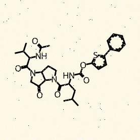 CC(=O)NC(C(=O)N1CC(=O)C2C1CCN2C(=O)C(CC(C)C)NC(=O)Oc1ccc(-c2ccccc2)s1)C(C)C